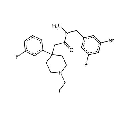 CN(Cc1cc(Br)cc(Br)c1)C(=O)CC1(c2cccc(F)c2)CCN(CI)CC1